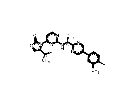 Cc1cc(-c2cnc([C@H](C)Nc3nccc(-n4c([C@H](C)F)coc4=O)n3)nc2)ccc1F